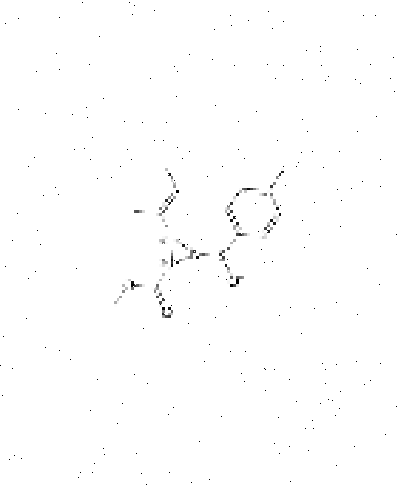 CC=C(C)[C@H]1[C@@H](C(=O)OC)N1[S+]([O-])c1ccc(C)cc1